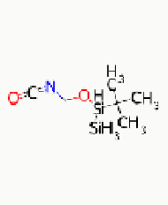 CC(C)(C)[SiH]([SiH3])OCN=C=O